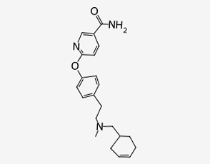 CN(CCc1ccc(Oc2ccc(C(N)=O)cn2)cc1)CC1CC=CCC1